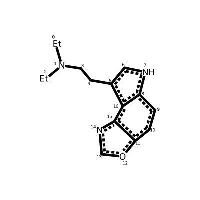 CCN(CC)CCc1c[nH]c2ccc3ocnc3c12